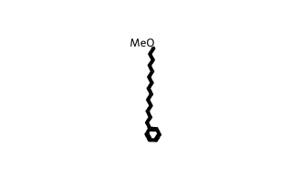 [CH2]OCCCCCCCCCCCCCCc1ccccc1